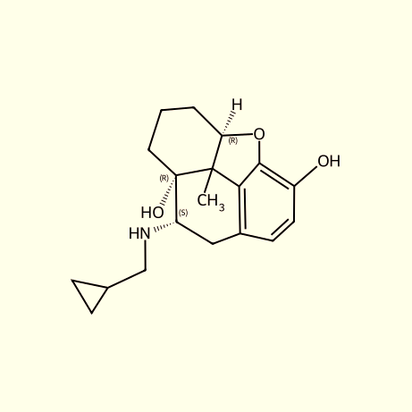 CC12c3c4ccc(O)c3O[C@@H]1CCC[C@]2(O)[C@@H](NCC1CC1)C4